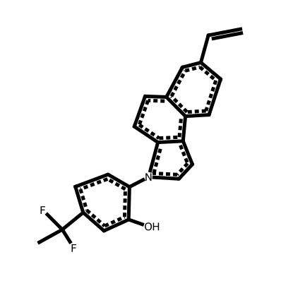 C=Cc1ccc2c(ccc3c2ccn3-c2ccc(C(C)(F)F)cc2O)c1